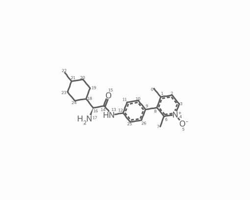 Cc1cc[n+]([O-])c(C)c1-c1ccc(NC(=O)[C@@H](N)C2CCC(C)CC2)cc1